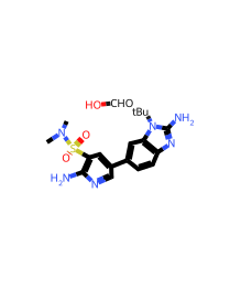 CN(C)S(=O)(=O)c1cc(-c2ccc3nc(N)n(C(C)(C)C)c3c2)cnc1N.O=CO